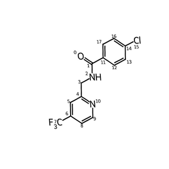 O=C(NCc1cc(C(F)(F)F)ccn1)c1ccc(Cl)cc1